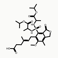 COc1c(C)c2c(c(P(=O)(NC(C)C(=O)OC(C)C)NC(C)C(=O)OC(C)C)c1C/C=C(\C)CCC(=O)O)C(=O)OC2